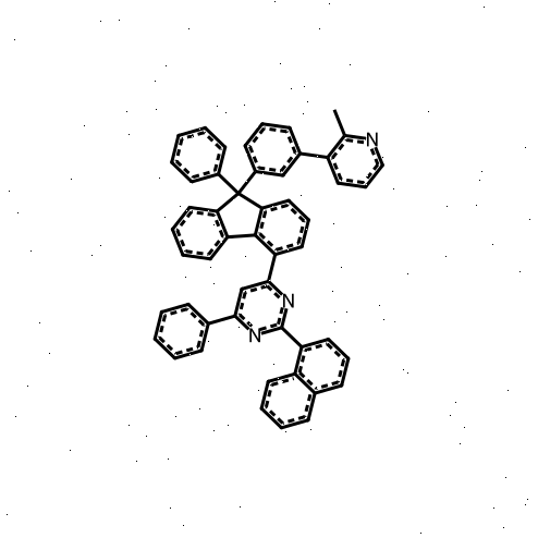 Cc1ncccc1-c1cccc(C2(c3ccccc3)c3ccccc3-c3c(-c4cc(-c5ccccc5)nc(-c5cccc6ccccc56)n4)cccc32)c1